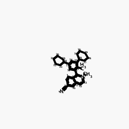 Cc1c(-c2c3ccc(C#N)cc3cc[n+]2C)cc(C2CCCCC2)cc1C1CCCCC1